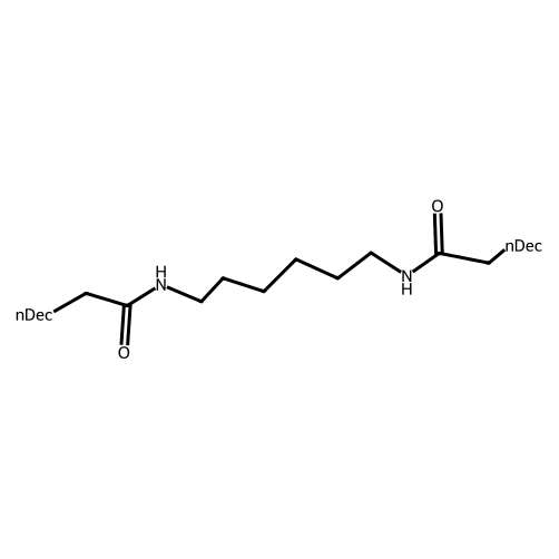 CCCCCCCCCCCC(=O)NCCCCCCNC(=O)CCCCCCCCCCC